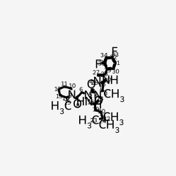 CC(NC(=O)N(CC(=O)N1CCCC[C@@H]1C)NC(=O)CCC(C)(C)C)c1ncc(-c2ccc(F)cc2F)[nH]1